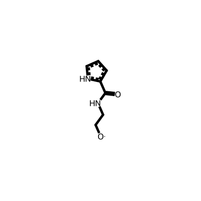 [O]CCNC(=O)c1ccc[nH]1